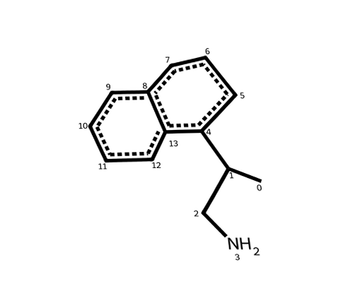 CC(CN)c1cccc2ccccc12